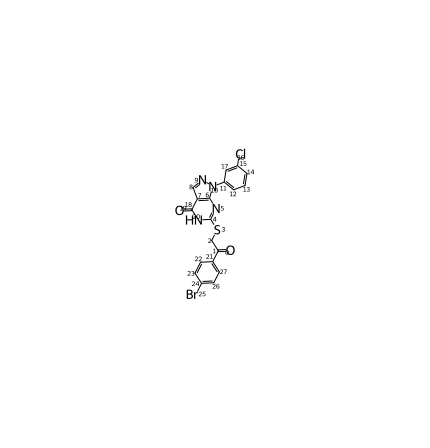 O=C(CSc1nc2c(cnn2-c2cccc(Cl)c2)c(=O)[nH]1)c1ccc(Br)cc1